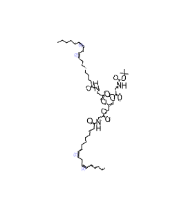 CCCCC/C=C\C/C=C\CCCCCCCC(=O)NCC(=O)OCC(COC(=O)CNC(=O)OC(C)(C)C)OC(=O)CNC(=O)CCCCCCC/C=C\C/C=C\CCCCC